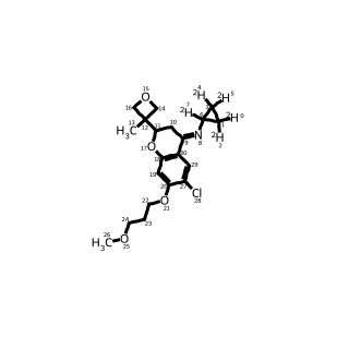 [2H]C1([2H])C([2H])([2H])C1([2H])N=C1CC(C2(C)COC2)Oc2cc(OCCCOC)c(Cl)cc21